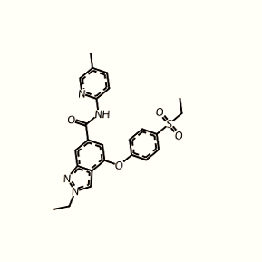 CCn1cc2c(Oc3ccc(S(=O)(=O)CC)cc3)cc(C(=O)Nc3ccc(C)cn3)cc2n1